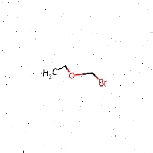 [CH2]COCBr